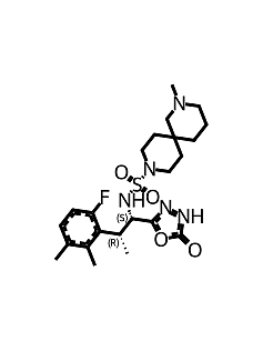 Cc1ccc(F)c([C@@H](C)[C@H](NS(=O)(=O)N2CCC3(CCCN(C)C3)CC2)c2n[nH]c(=O)o2)c1C